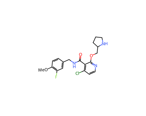 COc1ccc(CNC(=O)c2c(Cl)ccnc2OCC2CCCN2)cc1F